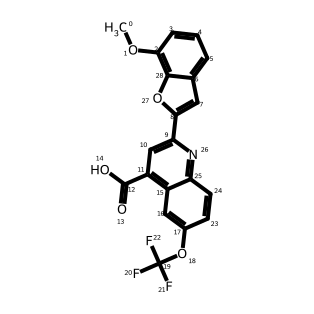 COc1cccc2cc(-c3cc(C(=O)O)c4cc(OC(F)(F)F)ccc4n3)oc12